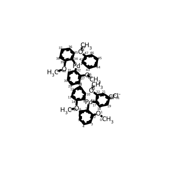 COc1cccc[c]1[Pd+]([c]1ccccc1OC)[c]1ccccc1OC.COc1cccc[c]1[Pd+]([c]1ccccc1OC)[c]1ccccc1OC.[Cl-].[Cl-]